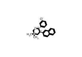 C[N+]1(C)CO[C@H](c2ccccc2)[C@@H](c2ccc3ccccc3c2)C1.[Cl-]